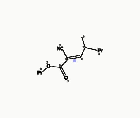 CC(C)OC(=O)/C(C#N)=C/C(C)C(C)C